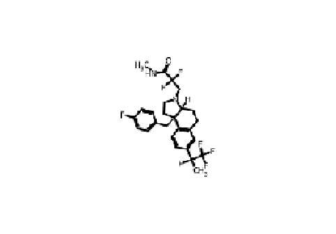 CNC(=O)C(F)(F)CN1CC[C@@]2(Cc3ccc(F)cc3)c3ccc(C(C)(F)C(F)(F)F)cc3CC[C@@H]12